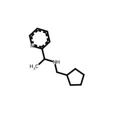 CC(NCC1CCCC1)c1ccccn1